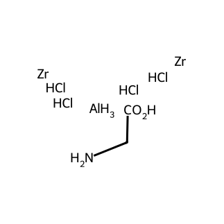 Cl.Cl.Cl.Cl.NCC(=O)O.[AlH3].[Zr].[Zr]